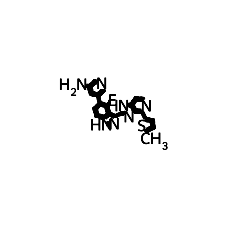 Cc1ccc(-c2nccc3[nH]c(-c4n[nH]c5ccc(-c6cncc(N)c6)c(F)c45)nc23)s1